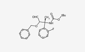 CC(C)(C)OC(=O)N[C@](C)(c1ccccc1F)C(C=O)OCc1ccccc1